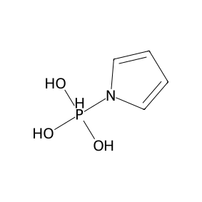 O[PH](O)(O)n1cccc1